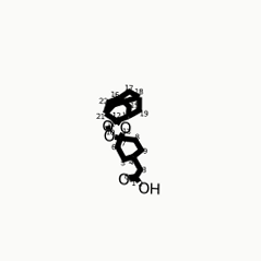 O=C(O)CC1CCC2(CC1)OOC1(O2)C2CC3CC(C2)CC1C3